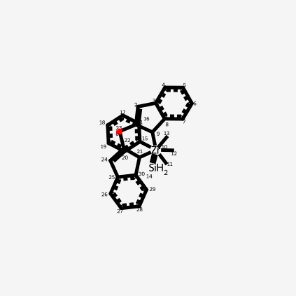 CC1=Cc2ccccc2[CH]1[Zr]([CH3])([CH3])([CH3])(=[SiH2])([c]1ccccc1)[CH]1C(C)=Cc2ccccc21